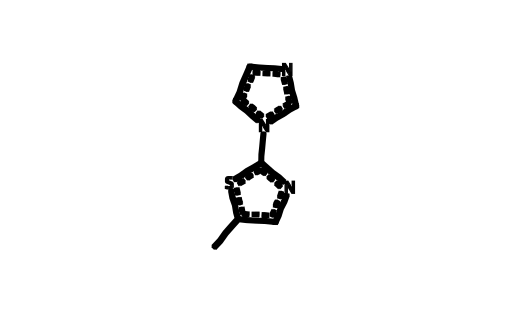 Cc1cnc(-n2ccnc2)s1